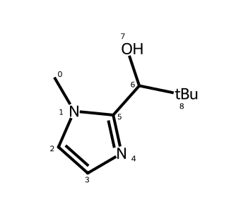 Cn1ccnc1C(O)C(C)(C)C